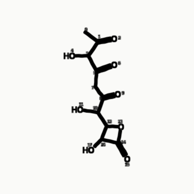 CC(=O)C(O)C(=O)CC(=O)C(O)C1OC(=O)C1O